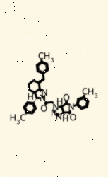 Cc1ccc(/C=C2\CCC[C@@H]3C2=NN(C(=O)CN2N=N[C@@H]4C(=O)N(c5cccc(C)c5)C(=O)[C@H]42)[C@@H]3c2ccc(C)cc2)cc1